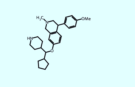 COc1ccc(C2CN(C)Cc3cc(OC(C4CCCC4)C4CCNCC4)ccc32)cc1